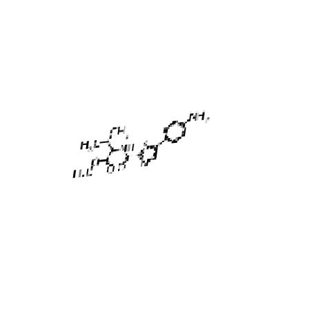 COC(=O)C(NC(=O)c1ncc(-c2ccc(N)cc2)s1)C(C)C